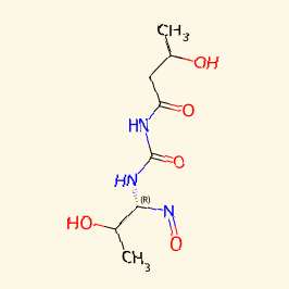 CC(O)CC(=O)NC(=O)N[C@H](N=O)C(C)O